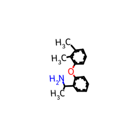 Cc1cccc(Oc2ccccc2C(C)N)c1C